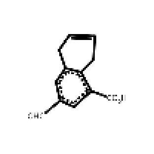 O=Cc1cc2c(c(C(=O)O)c1)CC=CC2